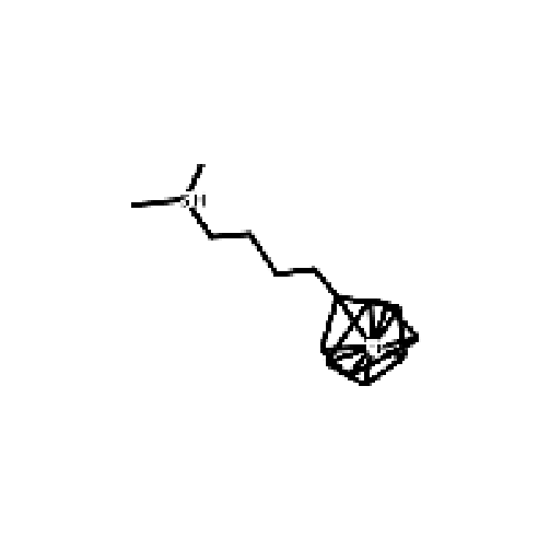 C[SiH](C)CCCC[C]12[CH]3[CH]4[CH]5[CH]1[Fe]45321678[CH]2[CH]1[CH]6[CH]7[CH]28